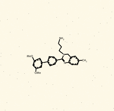 COc1cc(OC)cc(-c2ccc(C3=Nc4ccc(C)cc4CN3CCCN)cc2)c1